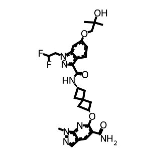 Cn1ncc2cc(C(N)=O)c(O[C@H]3CC4(C[C@H](NC(=O)c5nn(CC(F)F)c6cc(OCC(C)(C)O)ccc56)C4)C3)nc21